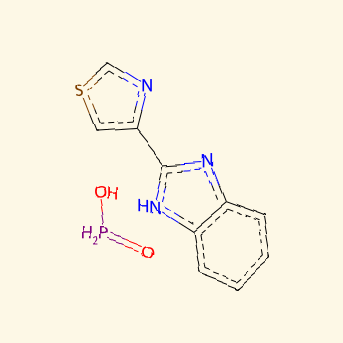 O=[PH2]O.c1ccc2[nH]c(-c3cscn3)nc2c1